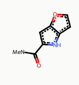 CNC(=O)c1cc2occc2[nH]1